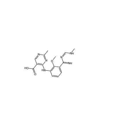 CN/C=N\C(=N)c1cccc(Nc2nc(C)ncc2C(=O)O)c1OC